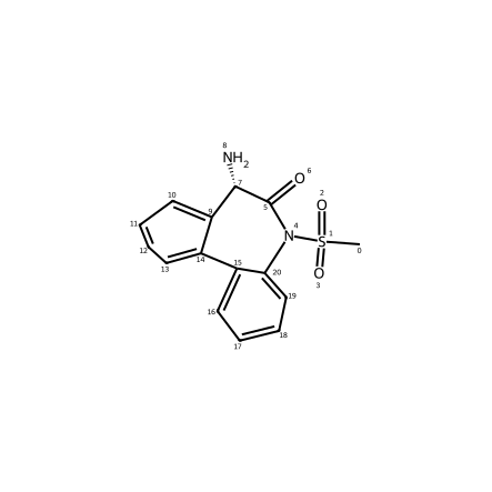 CS(=O)(=O)N1C(=O)[C@@H](N)c2ccccc2-c2ccccc21